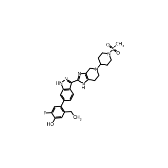 CCc1cc(O)c(F)cc1-c1ccc2c(-c3nc4c([nH]3)CCN(C3CCN(S(C)(=O)=O)CC3)C4)n[nH]c2c1